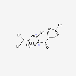 C=C(/C=C(Br)\C(=C/C)C(=O)c1ccc(CC)cc1)C(Br)Br